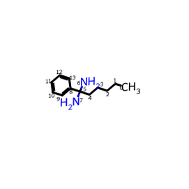 CCCCCC(N)(N)c1ccccc1